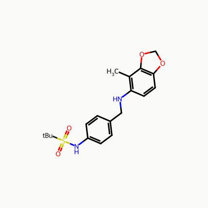 Cc1c(NCc2ccc(NS(=O)(=O)C(C)(C)C)cc2)ccc2c1OCO2